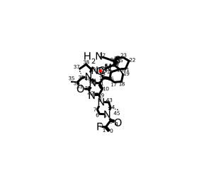 C=C(F)C(=O)N1CCN(c2cc(-c3onc4c3CCC[C@@]43CCCc4sc(N)c(C#N)c43)nc(O[C@@H](C)[C@@H]3CCCN3C)n2)C[C@@H]1C